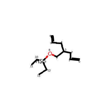 C=CCC(CC=C)CO[SiH](CC)CC